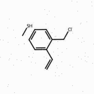 C=Cc1ccccc1CCl.CS